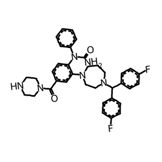 NC(=O)N(c1ccccc1)c1ccc(C(=O)N2CCNCC2)cc1N1CCCN(C(c2ccc(F)cc2)c2ccc(F)cc2)CC1